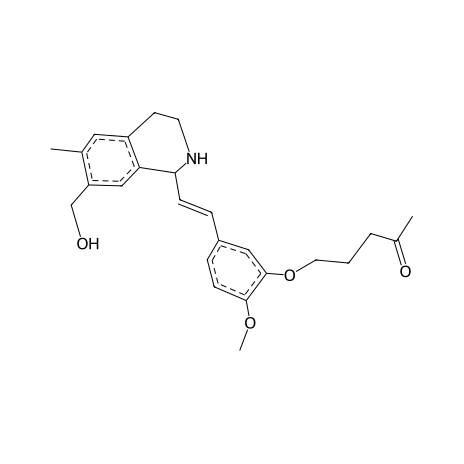 COc1ccc(/C=C/C2NCCc3cc(C)c(CO)cc32)cc1OCCCC(C)=O